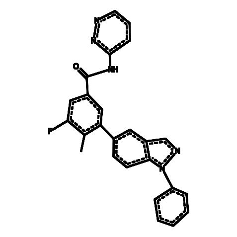 Cc1c(F)cc(C(=O)Nc2cccnn2)cc1-c1ccc2c(cnn2-c2ccccc2)c1